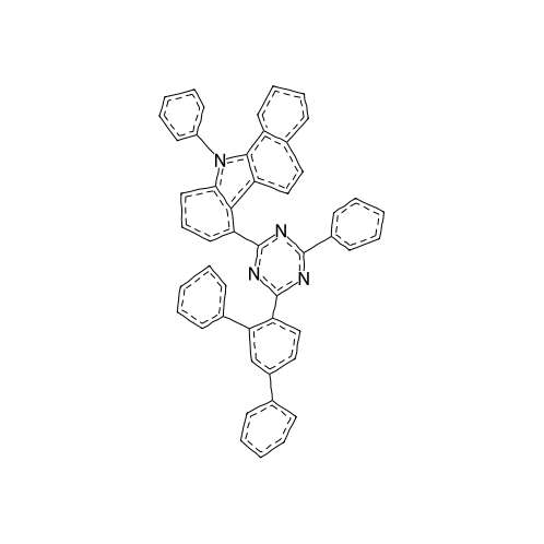 c1ccc(-c2ccc(-c3nc(-c4ccccc4)nc(-c4cccc5c4c4ccc6ccccc6c4n5-c4ccccc4)n3)c(-c3ccccc3)c2)cc1